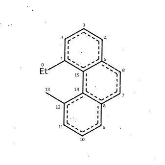 CCc1cccc2ccc3cccc(C)c3c12